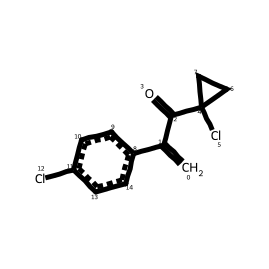 C=C(C(=O)C1(Cl)CC1)c1ccc(Cl)cc1